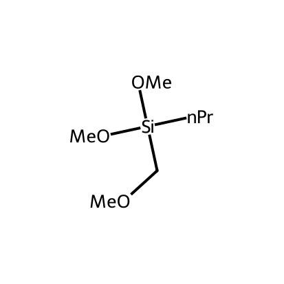 [CH2]CC[Si](COC)(OC)OC